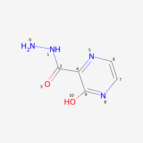 NNC(=O)c1nccnc1O